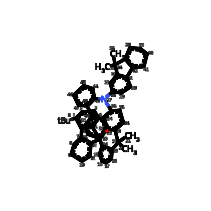 CC(C)(C)c1cccc2c1-c1ccccc1C21c2ccccc2C(C)(C)c2ccc(N(c3ccc4c(c3)C(C)(C)c3ccccc3-4)c3ccccc3-c3ccccc3)cc21